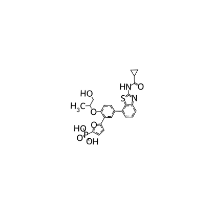 CC(CO)Oc1ccc(-c2cccc3nc(NC(=O)C4CC4)sc23)cc1-c1ccc(P(=O)(O)O)o1